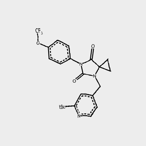 CC(C)(C)c1cc(CN2C(=O)N(c3ccc(OC(F)(F)F)cc3)C(=O)C23CC3)ccn1